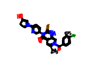 C[C@@H]1Cc2c([nH]c(=S)n(-c3ccc(N4CC[C@@H](O)C4)nc3)c2=O)CN1C(=O)c1ccc(Br)c(C(F)(F)F)c1